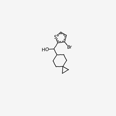 OC(c1sccc1Br)C1CCC2(CC1)CC2